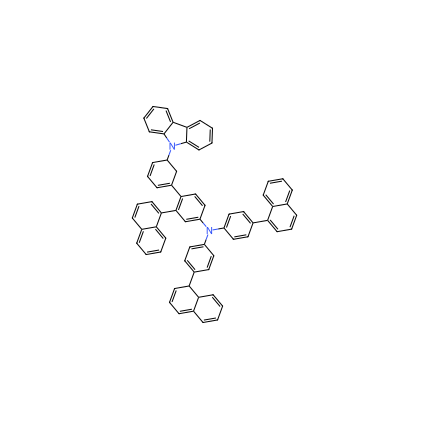 C1=CC2=CC=CC(c3ccc(N(c4ccc(-c5cccc6ccccc56)cc4)c4ccc(C5=CC=CC(n6c7ccccc7c7ccccc76)C5)c(-c5cccc6ccccc56)c4)cc3)C2C=C1